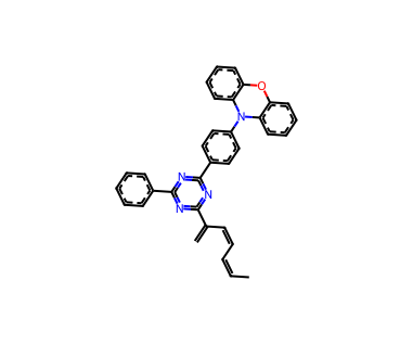 C=C(/C=C\C=C/C)c1nc(-c2ccccc2)nc(-c2ccc(N3c4ccccc4Oc4ccccc43)cc2)n1